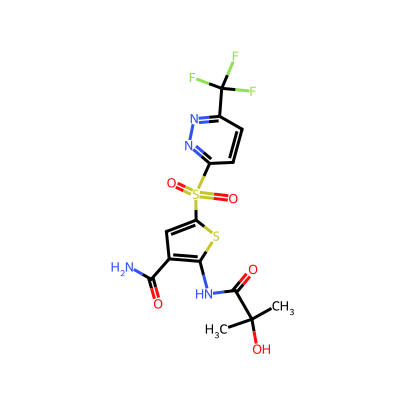 CC(C)(O)C(=O)Nc1sc(S(=O)(=O)c2ccc(C(F)(F)F)nn2)cc1C(N)=O